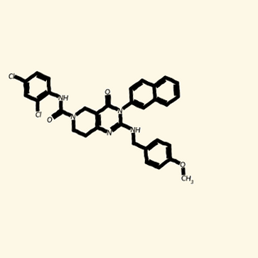 COc1ccc(CNc2nc3c(c(=O)n2-c2ccc4ccccc4c2)CN(C(=O)Nc2ccc(Cl)cc2Cl)CC3)cc1